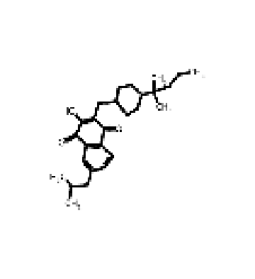 CCCC(C)(C)C1CCC(CC2=C(O)C(=O)c3cc(CC(C)C)ccc3C2=O)CC1